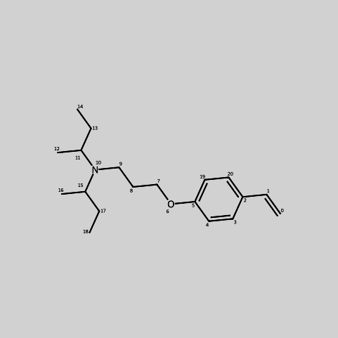 C=Cc1ccc(OCCCN(C(C)CC)C(C)CC)cc1